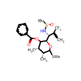 C=C([C@@H](N[S+]([O-])C(C)(C)C)[C@H]1OC(SC)[C@H](C)[C@H](C)C1OC(=O)c1ccccc1)C(F)(F)F